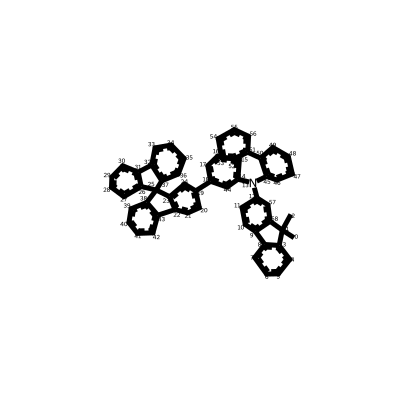 CC1(C)c2ccccc2-c2ccc(N(c3cccc(-c4ccc5c(c4)C4(c6ccccc6-c6ccccc64)c4ccccc4-5)c3)c3ccccc3-c3ccccc3)cc21